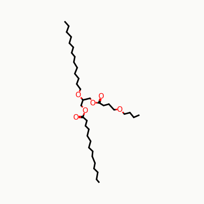 CCCCCCCCCCCCCCOC(COC(=O)CCCCCCCCCCCCC)COC(=O)CCCOCCCC